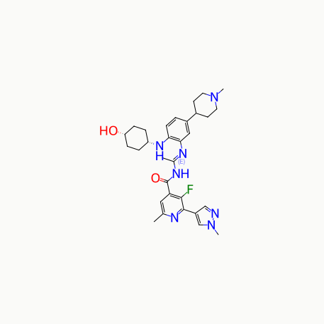 C/C(=N\c1cc(C2CCN(C)CC2)ccc1N[C@H]1CC[C@@H](O)CC1)NC(=O)c1cc(C)nc(-c2cnn(C)c2)c1F